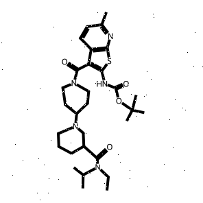 CCN(C(=O)C1CCCN(C2CCN(C(=O)c3c(NC(=O)OC(C)(C)C)sc4nc(C)ccc34)CC2)C1)C(C)C